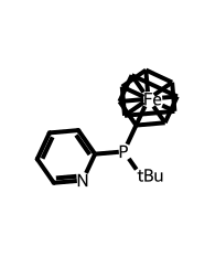 CC(C)(C)P(c1ccccn1)[C]12[CH]3[CH]4[CH]5[CH]1[Fe]45321678[CH]2[CH]1[CH]6[CH]7[CH]28